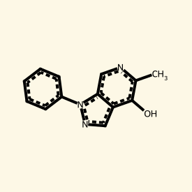 Cc1ncc2c(cnn2-c2ccccc2)c1O